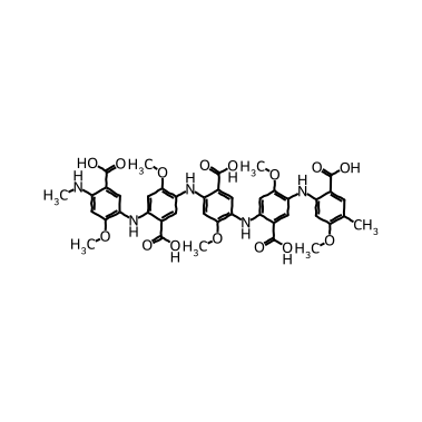 CNc1cc(OC)c(Nc2cc(OC)c(Nc3cc(OC)c(Nc4cc(OC)c(Nc5cc(OC)c(C)cc5C(=O)O)cc4C(=O)O)cc3C(=O)O)cc2C(=O)O)cc1C(=O)O